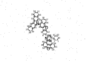 c1ccc(-c2nc(-c3ccc4c(c3)oc3c5ccccc5c(-n5c6cc7ccccc7cc6c6cc7ccccc7cc65)cc43)nc(-c3cccc4oc5ccccc5c34)n2)cc1